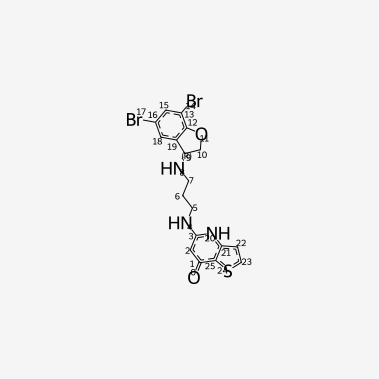 O=c1cc(NCCCN[C@H]2COc3c(Br)cc(Br)cc32)[nH]c2ccsc12